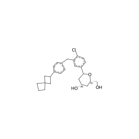 OC[C@@H]1C[C@H](O)CC(c2ccc(Cl)c(Cc3ccc(C4CC5(CCC5)C4)cc3)c2)O1